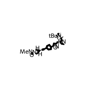 CNC(=O)N1C[C@@H]2[C@H](C#Cc3ccc(-c4cc(Cn5ccnc5[C@H](C)O[Si](C)(C)C(C)(C)C)no4)cc3)[C@@H]2C1